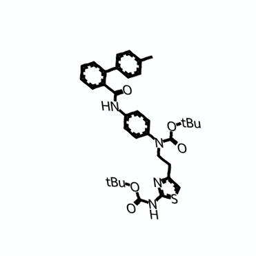 Cc1ccc(-c2ccccc2C(=O)Nc2ccc(N(CCc3csc(NC(=O)OC(C)(C)C)n3)C(=O)OC(C)(C)C)cc2)cc1